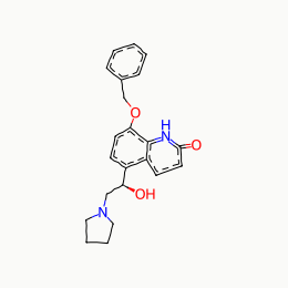 O=c1ccc2c([C@@H](O)CN3CCCC3)ccc(OCc3ccccc3)c2[nH]1